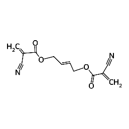 C=C(C#N)C(=O)OCC=CCOC(=O)C(=C)C#N